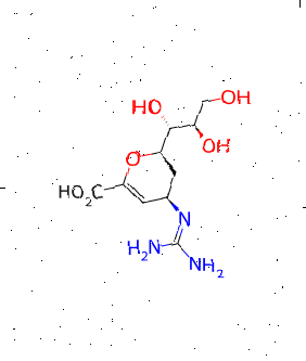 NC(N)=N[C@H]1C=C(C(=O)O)O[C@@H]([C@H](O)[C@H](O)CO)C1